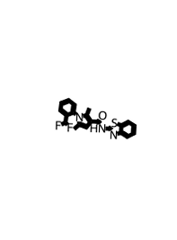 Cc1cc(C(=O)Nc2nc3ccccc3s2)c(C)n1-c1ccccc1C(F)F